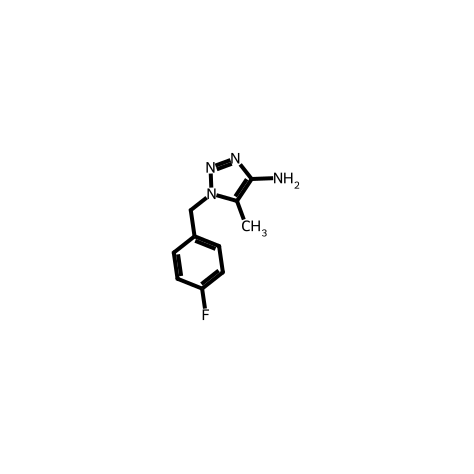 Cc1c(N)nnn1Cc1ccc(F)cc1